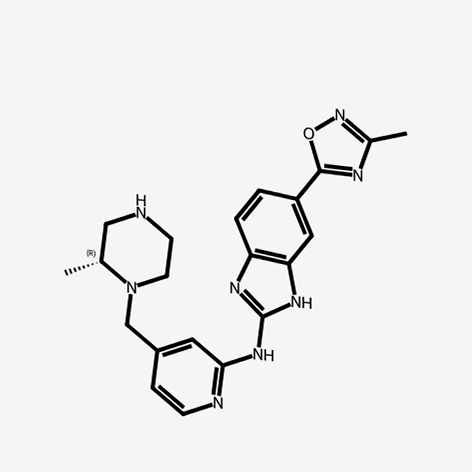 Cc1noc(-c2ccc3nc(Nc4cc(CN5CCNC[C@H]5C)ccn4)[nH]c3c2)n1